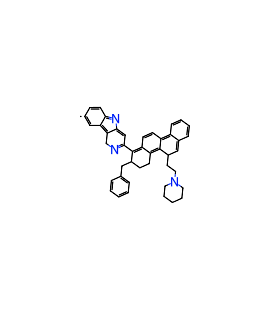 [c]1ccc2c(c1)=C1CN=C(C3=c4ccc5c(c4CCC3Cc3ccccc3)C(CCN3CCCCC3)C=c3ccccc3=5)C=C1N=2